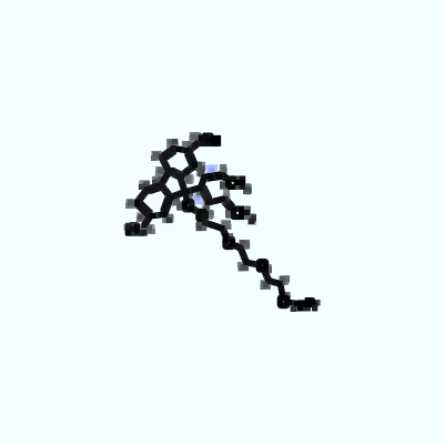 C=C/C=C(\C=C/C)C1(OOCCOCCOCCOCCC)c2cc(C(C)(C)C)ccc2-c2ccc(C(C)(C)C)cc21